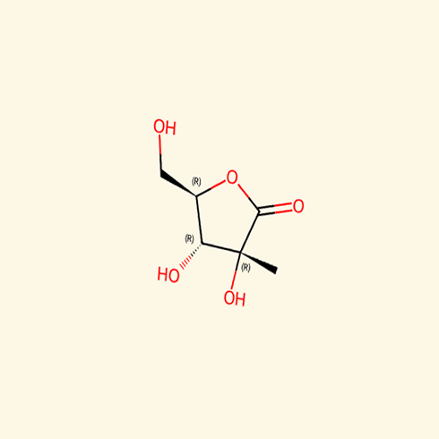 C[C@]1(O)C(=O)O[C@H](CO)[C@H]1O